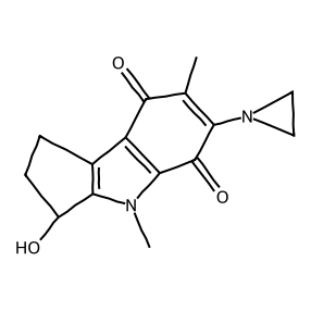 CC1=C(N2CC2)C(=O)c2c(c3c(n2C)C(O)CC3)C1=O